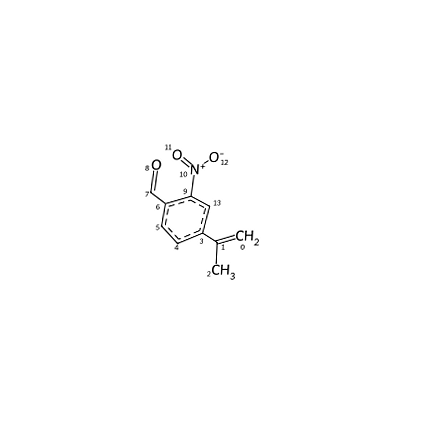 C=C(C)c1ccc(C=O)c([N+](=O)[O-])c1